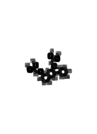 COC(COc1cc2c(OCC(OC)OC)cccc2cc1-c1ccccc1)OC